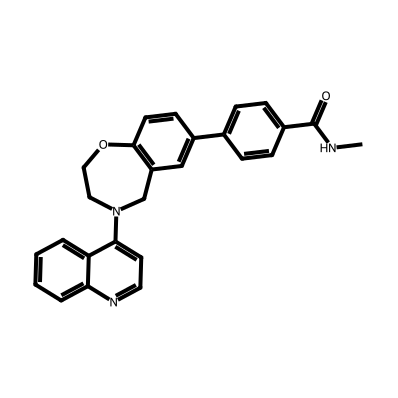 CNC(=O)c1ccc(-c2ccc3c(c2)CN(c2ccnc4ccccc24)CCO3)cc1